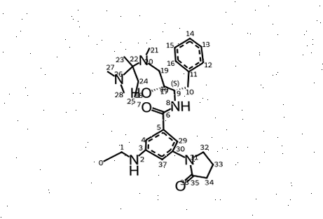 CCNc1cc(C(=O)N[C@@H](Cc2ccccc2)[C@H](O)CN(C)C(C)(CC)N(C)C)cc(N2CCCC2=O)c1